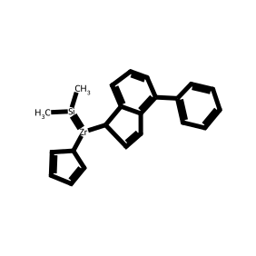 C[Si](C)=[Zr]([CH]1C=CC=C1)[CH]1C=Cc2c(-c3ccccc3)cccc21